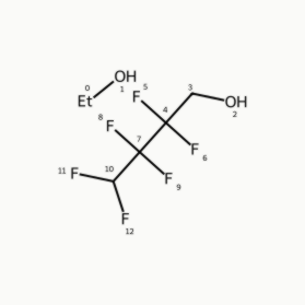 CCO.OCC(F)(F)C(F)(F)C(F)F